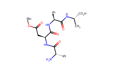 CC(C)[C@H](N)C(=O)N[C@@H](CC(=O)OC(C)(C)C)C(=O)N[C@H](C(=O)N[C@@H](C)C(=O)O)C(C)C